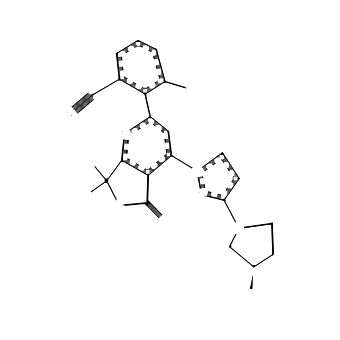 [2H]C1([2H])NC(=O)c2c(-n3ccc(N4CC[C@@H](O)C4)n3)cc(-c3c(F)cccc3C#N)nc21